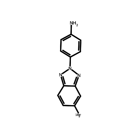 Nc1ccc(-n2nc3ccc([18F])cc3n2)cc1